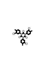 Cc1ccc(-n2c(=O)n(-c3ccc(C)c(Cl)c3)c(=O)n(-c3ccc(C)c(Cl)c3)c2=O)cc1Cl